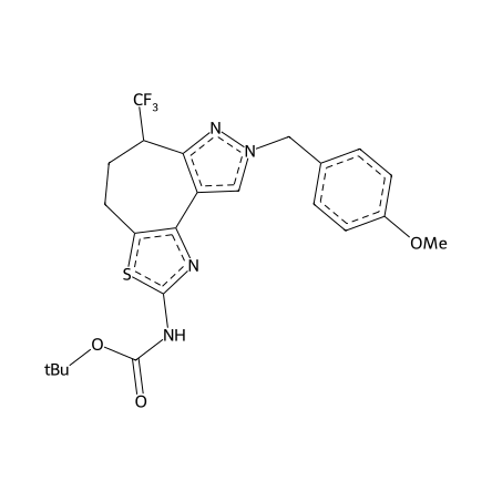 COc1ccc(Cn2cc3c(n2)C(C(F)(F)F)CCc2sc(NC(=O)OC(C)(C)C)nc2-3)cc1